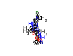 Cc1nc(NS(=O)(=O)c2ccccc2C#N)ccc1-c1nc2cnc(NC3CCC(N(C)CCF)CC3)nc2n(C(C)C)c1=O